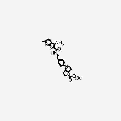 Cc1ccc2c(N)c(C(=O)NCCc3ccc(N4CCC5C4CCN5C(=O)OC(C)(C)C)cc3)sc2n1